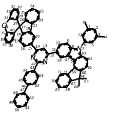 Cc1cc(C)cc(-n2c3ccc(-c4cc(-c5ccc6c(c5)-c5ccccc5C65c6ccccc6Oc6ccccc65)nc(-c5ccc(-c6ccccc6)cc5)n4)cc3c3c4c(ccc32)C(C)(C)c2ccccc2-4)c1